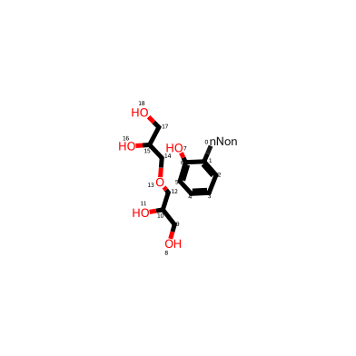 CCCCCCCCCc1ccccc1O.OCC(O)COCC(O)CO